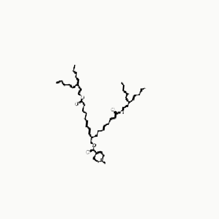 CCCCCC(CCCCC)CCOC(=O)CCCCCCCCC(CCCCCCCC(=O)OCCC(CCCCC)CCCCC)COC(=O)C1CCN(C)CC1